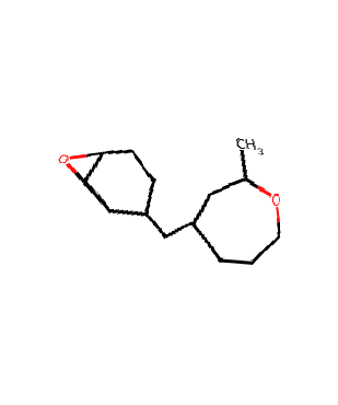 CC1CC(CC2CCC3OC3C2)CCCO1